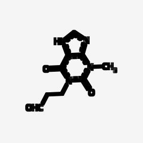 Cn1c(=O)n(CCC=O)c(=O)c2[nH]cnc21